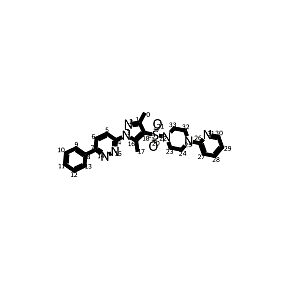 Cc1nn(-c2ccc(-c3ccccc3)nn2)c(C)c1S(=O)(=O)N1CCN(c2ccccn2)CC1